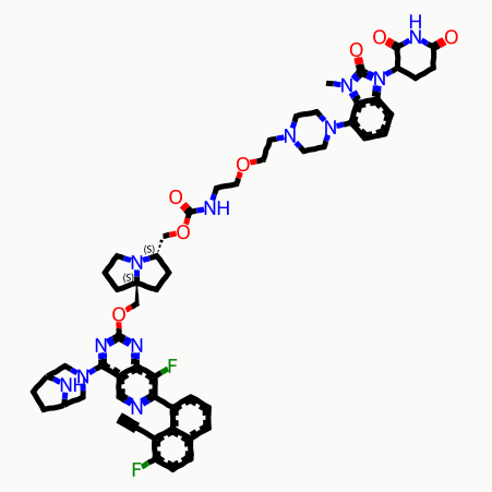 C#Cc1c(F)ccc2cccc(-c3ncc4c(N5CC6CCC(C5)N6)nc(OC[C@@]56CCCN5[C@H](COC(=O)NCCOCCN5CCN(c7cccc8c7n(C)c(=O)n8C7CCC(=O)NC7=O)CC5)CC6)nc4c3F)c12